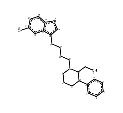 OCC1C(c2ccccc2)CCCN1CCCCc1c[nH]c2ccc(Cl)cc12